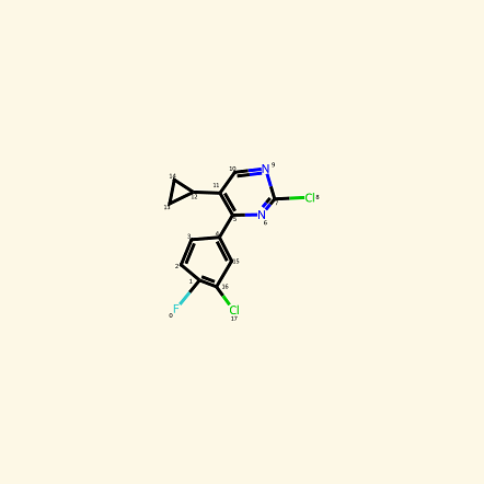 Fc1ccc(-c2nc(Cl)ncc2C2CC2)cc1Cl